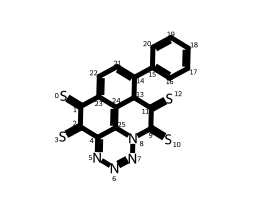 S=C1C(=S)C2=NN=NN3C(=S)C(=S)C4C(c5ccccc5)=CC=C1C4=C23